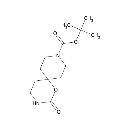 CC(C)(C)OC(=O)N1CCC2(CCNC(=O)O2)CC1